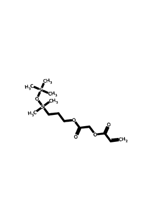 C=CC(=O)OCC(=O)OCCC[Si](C)(C)O[Si](C)(C)C